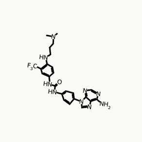 CN(C)CCCNc1ccc(NC(=O)Nc2ccc(-n3cnc4c(N)ncnc43)cc2)cc1C(F)(F)F